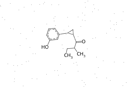 CCC(C)C(=O)C1CC1c1cccc(O)c1